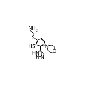 NCCSc1ccc(N2CCOCC2)c(-c2nnn[nH]2)c1S